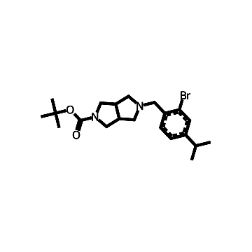 CC(C)c1ccc(CN2CC3CN(C(=O)OC(C)(C)C)CC3C2)c(Br)c1